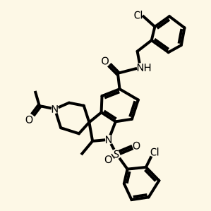 CC(=O)N1CCC2(CC1)c1cc(C(=O)NCc3ccccc3Cl)ccc1N(S(=O)(=O)c1ccccc1Cl)C2C